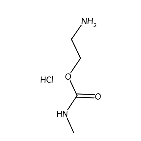 CNC(=O)OCCN.Cl